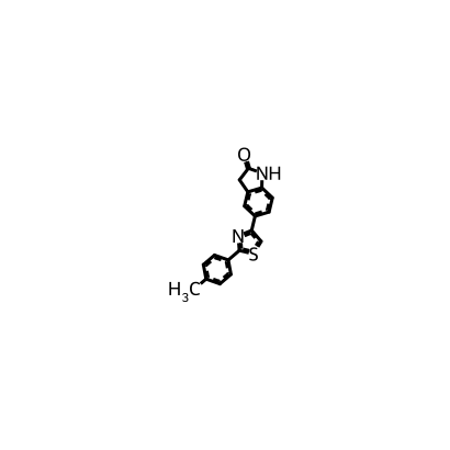 Cc1ccc(-c2nc(-c3ccc4c(c3)CC(=O)N4)cs2)cc1